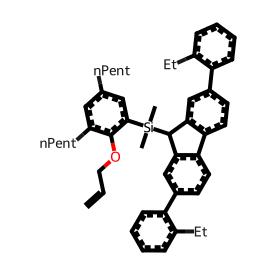 C=CCOc1c(CCCCC)cc(CCCCC)cc1[Si](C)(C)C1c2cc(-c3ccccc3CC)ccc2-c2ccc(-c3ccccc3CC)cc21